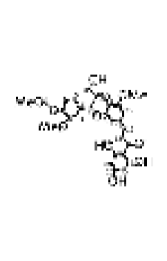 COCOc1ccc(C2Oc3cc(C=CC(=O)c4c(O)cc(O)cc4O)cc(OC)c3OC2CO)cc1OC